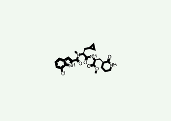 COC(=O)[C@H](C[C@@H]1CCCNC1=O)NC(=O)[C@H](CC1CC1)N(C)C(=O)c1cc2cccc(Cl)c2[nH]1